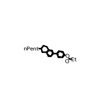 CCCCCC1CCc2cc(-c3ccc(OC(=O)CC)cc3)ccc2C1